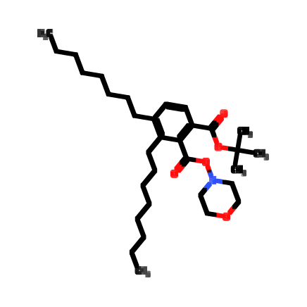 CCCCCCCCc1ccc(C(=O)OC(C)(C)C)c(C(=O)ON2CCOCC2)c1CCCCCCCC